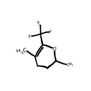 CC1=C(C(F)(F)F)OC(C)CC1